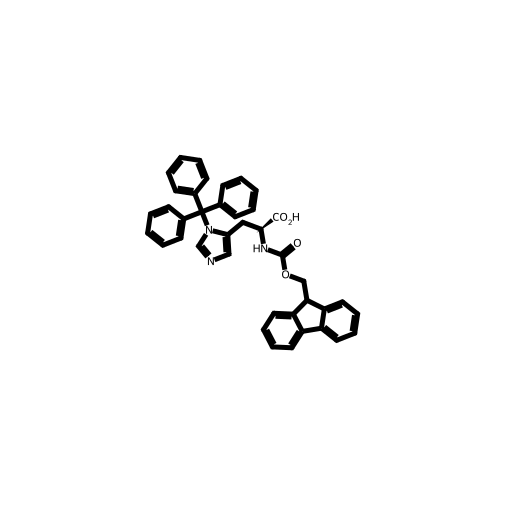 O=C(N[C@@H](Cc1cncn1C(c1ccccc1)(c1ccccc1)c1ccccc1)C(=O)O)OCC1c2ccccc2-c2ccccc21